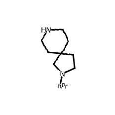 CCCN1CCC2(CCNCC2)C1